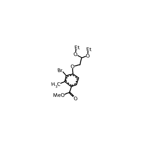 CCOC(COc1ccc(C(=O)OC)c(C)c1Br)OCC